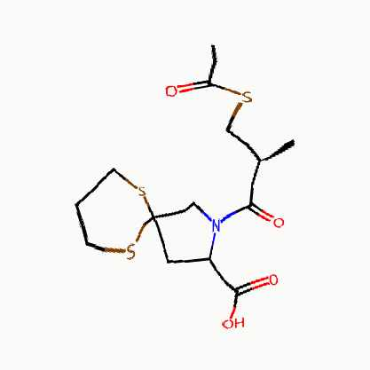 CC(=O)SC[C@@H](C)C(=O)N1CC2(CC1C(=O)O)SCCCS2